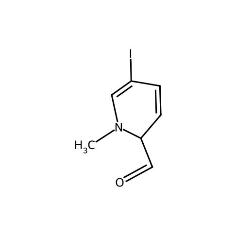 CN1C=C(I)C=CC1C=O